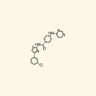 O=C(Nc1nc(-c2cccc(Cl)c2)cs1)c1ccc(Nc2ccncn2)cc1